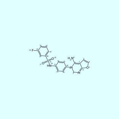 NC1=c2ccoc2=NCN1c1ccc(NS(=O)(=O)c2cccc(F)c2)cc1